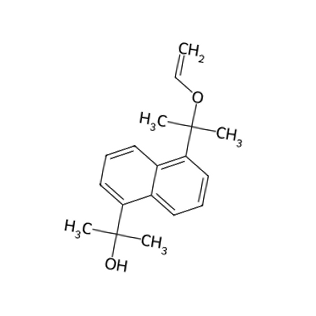 C=COC(C)(C)c1cccc2c(C(C)(C)O)cccc12